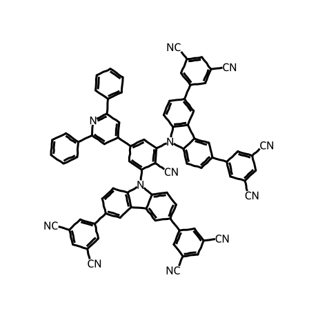 N#Cc1cc(C#N)cc(-c2ccc3c(c2)c2cc(-c4cc(C#N)cc(C#N)c4)ccc2n3-c2cc(-c3cc(-c4ccccc4)nc(-c4ccccc4)c3)cc(-n3c4ccc(-c5cc(C#N)cc(C#N)c5)cc4c4cc(-c5cc(C#N)cc(C#N)c5)ccc43)c2C#N)c1